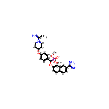 CCOP(=O)(OCC)C(Oc1ccc2ccc(C(=N)N)cc2c1)c1ccc(OC2CCN(C(C)=N)CC2)cc1